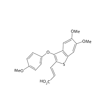 COc1ccc(Oc2c(C=CC(=O)O)sc3cc(OC)c(OC)cc23)cc1